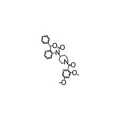 COc1ccc(C(=O)N2CCC(N3C(=O)OC(c4ccccc4)c4ccccc43)CC2)c(OC)c1